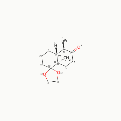 CCC[C@H]1C(=O)CC[C@]2(C)[C@@H]1CCCC21OCCO1